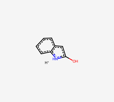 Oc1cc2ccccc2[nH]1.[H+]